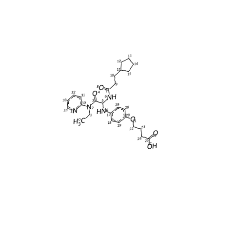 CCN(C(=O)C(NC(=O)CCC1CCCC1)Nc1ccc(OCCCC(=O)O)cc1)c1ccccn1